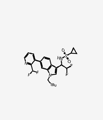 CC(C)(C)Cn1cc(C(NS(=O)(=O)C2CC2)C(F)F)c2ccc(-c3cccnc3C(F)F)cc21